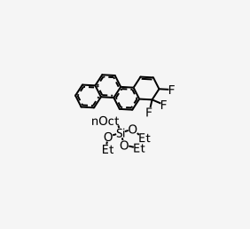 CCCCCCCC[Si](OCC)(OCC)OCC.FC1C=Cc2c(ccc3c2ccc2ccccc23)C1(F)F